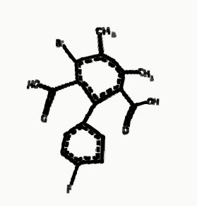 Cc1c(C)c(C(=O)O)c(-c2ccc(F)cc2)c(C(=O)O)c1Br